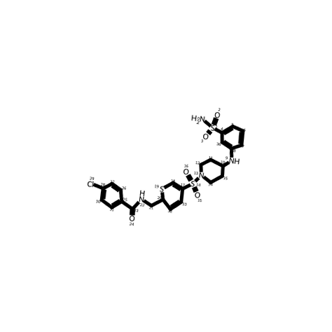 NS(=O)(=O)c1cccc(NC2CCN(S(=O)(=O)C3=CSC(CNC(=O)c4ccc(Cl)cc4)C=C3)CC2)c1